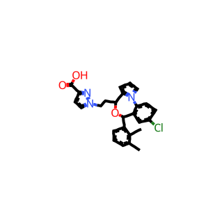 Cc1cccc(C2OC(CCn3ccc(C(=O)O)n3)c3cccn3-c3ccc(Cl)cc32)c1C